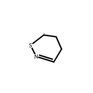 [C]1CCC=NS1